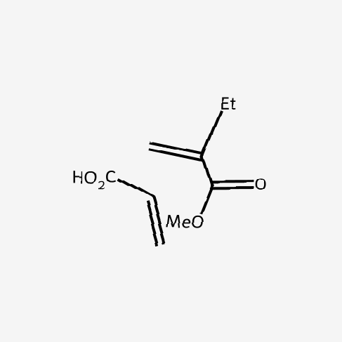 C=C(CC)C(=O)OC.C=CC(=O)O